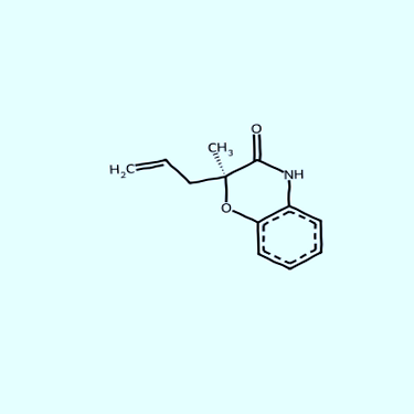 C=CC[C@]1(C)Oc2ccccc2NC1=O